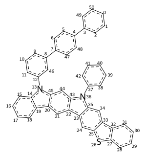 c1ccc(-c2ccc(-c3cccc(-n4c5ccccc5c5cc6c7cc8sc9ccccc9c8cc7n(-c7ccccc7)c6cc54)c3)cc2)cc1